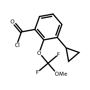 COC(F)(F)Oc1c(C(=O)Cl)cccc1C1CC1